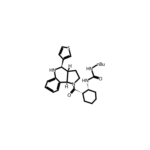 CCCCNC(=O)N[C@@H]1CCCC[C@@H]1C(=O)N1CC[C@H]2[C@H](c3ccsc3)Nc3ccccc3[C@@H]21